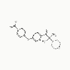 CC(C)(C(=O)c1ccc(Sc2ccc([N+](=O)[O-])cc2)cc1)N1CCOCC1